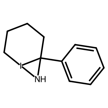 c1ccc(C23CCCCI2N3)cc1